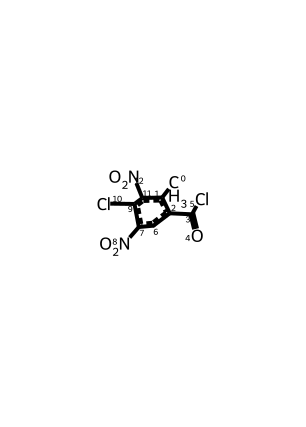 Cc1c(C(=O)Cl)cc([N+](=O)[O-])c(Cl)c1[N+](=O)[O-]